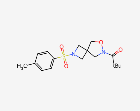 Cc1ccc(S(=O)(=O)N2CC3(CON(C(=O)C(C)(C)C)C3)C2)cc1